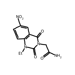 CCn1c(=O)n(CC(N)=O)c(=O)c2cc([N+](=O)[O-])ccc21